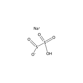 O=S([O-])S(=O)(=O)O.[Na+]